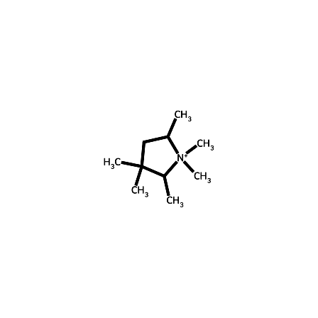 CC1CC(C)(C)C(C)[N+]1(C)C